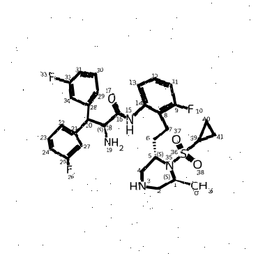 C[C@H]1CNC[C@H](CCc2c(F)cccc2NC(=O)[C@@H](N)C(c2cccc(F)c2)c2cccc(F)c2)N1S(=O)(=O)C1CC1